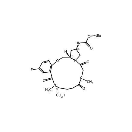 CN1CC(=O)N2C[C@H](NC(=O)OC(C)(C)C)C[C@H]2COc2ccc(F)cc2C(=O)N(C)[C@@H](C(=O)O)CCC1=O